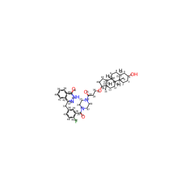 C[C@]12CCC(O)C[C@@H]1CC[C@@H]1[C@@H]2CC[C@]2(C)[C@@H](OCCC(=O)N3CCN(C(=O)c4cc(Cc5n[nH]c(=O)c6ccccc56)ccc4F)CC3)CC[C@@H]12